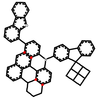 c1ccc(N(c2ccc(-c3cccc4c3oc3ccccc34)cc2)c2ccc3c(c2)C2(c4ccccc4-3)C3CC4CC5CC2C453)c(-c2cccc3cccc(C4CCCCC4)c23)c1